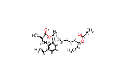 C=C(C)C(=O)OC.C=CC(=O)OC(CC)CCCCC.C=Cc1ccccc1